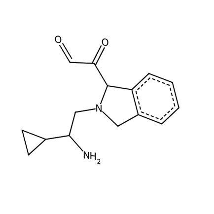 NC(CN1Cc2ccccc2C1C(=O)C=O)C1CC1